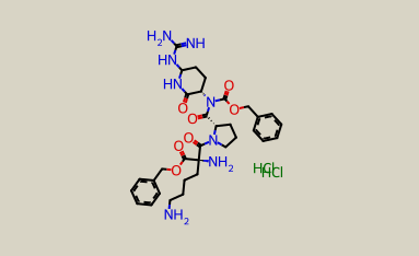 Cl.Cl.N=C(N)NC1CC[C@H](N(C(=O)OCc2ccccc2)C(=O)[C@@H]2CCCN2C(=O)[C@](N)(CCCCN)C(=O)OCc2ccccc2)C(=O)N1